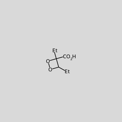 CCC1OOC1(CC)C(=O)O